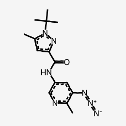 Cc1ncc(NC(=O)c2cc(C)n(C(C)(C)C)n2)cc1N=[N+]=[N-]